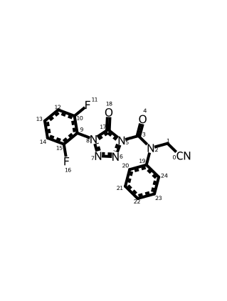 N#CCN(C(=O)n1nnn(-c2c(F)cccc2F)c1=O)c1ccccc1